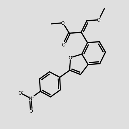 CO/C=C(/C(=O)OC)c1cccc2cc(-c3ccc([N+](=O)[O-])cc3)oc12